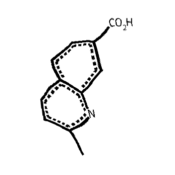 Cc1ccc2ccc(C(=O)O)cc2n1